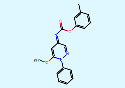 CCCOc1cc(=NC(=O)Oc2cccc(C)c2)cnn1-c1ccccc1